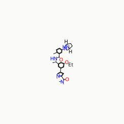 CCOc1cc(-c2cc(C(=O)N(C)C)n(C)c2)cc([C@@H](C)NC(=O)c2cc(N3C[C@H]4CC[C@@H](C3)N4)ccc2C)c1